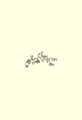 Cc1c(-c2cc(Nc3cc4n(n3)CCN(C)C4)c(=O)[nH]n2)ccc(F)c1NC(=O)c1cc(CO)c(CC(C)(C)C)s1